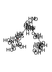 CC(=O)NCCCCC[C@H](NC(=O)[C@H](CCCCNC(=S)Nc1ccc(CC2CN(CC(=O)O)CCN(CC(=O)O)CCN(CC(=O)O)CCN2CC(=O)O)cc1)NC(=O)Cn1nncc1-c1cccc(NC(=O)NCCCC[C@H](NC(=O)N[C@@H](CCC(=O)O)C(=O)O)C(=O)O)c1)C(=O)O